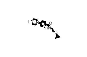 O=C(NCCOC1CC1)c1ccc(N2CCNCC2)cn1